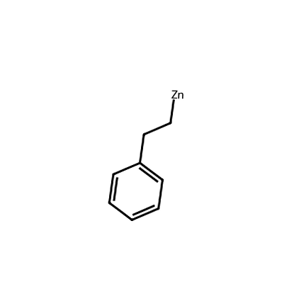 [Zn][CH2]Cc1ccccc1